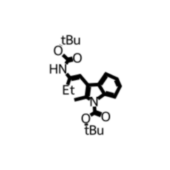 CC/C(=C\c1c(C)n(C(=O)OC(C)(C)C)c2ccccc12)NC(=O)OC(C)(C)C